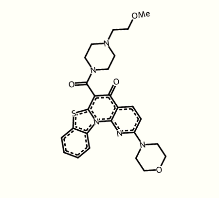 COCCN1CCN(C(=O)c2c(=O)c3ccc(N4CCOCC4)nc3n3c2sc2ccccc23)CC1